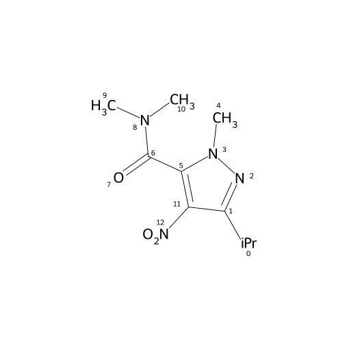 CC(C)c1nn(C)c(C(=O)N(C)C)c1[N+](=O)[O-]